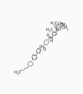 CCCCC[C@H]1CC[C@H](c2ccc(-c3ccc(OC(=O)[C@H]4CC[C@H](C(=O)Nc5ccc(B6OC(C)(C)C(C)(C)O6)c(C)c5)CC4)cc3)cc2)CC1